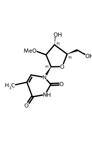 COC1[C@H](n2cc(C)c(=O)[nH]c2=O)O[C@H](CO)[C@H]1O